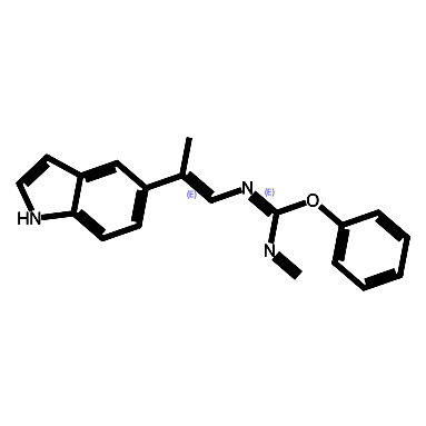 C=N/C(=N\C=C(/C)c1ccc2[nH]ccc2c1)Oc1ccccc1